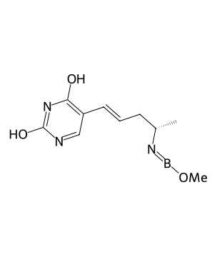 CO/B=N\[C@@H](C)C/C=C/c1cnc(O)nc1O